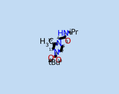 CC(C)NC(=O)CN1CCN(C(=O)OC(C)(C)C)C[C@H]1C